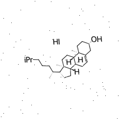 CC(C)CCC[C@@H](C)[C@H]1CC[C@H]2[C@@H]3CC=C4C[C@@H](O)CC[C@]4(C)[C@H]3CC[C@]12C.I